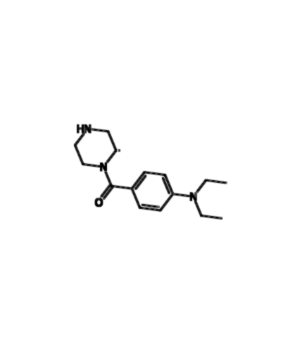 CCN(CC)c1ccc(C(=O)N2[CH]CNCC2)cc1